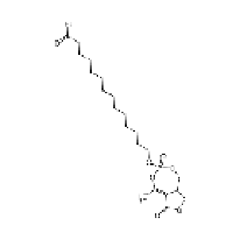 CCC(=O)CCCCCCCCCCCCCOP1(=O)OCC2COC(=O)C2=C(C)O1